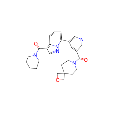 O=C(c1cncc(-c2cccc3c(C(=O)N4CCCCC4)cnn23)c1)N1CCC2(CC1)COC2